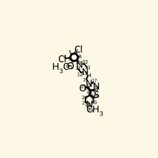 COc1c(Cl)cc(Cl)cc1N1CCN(CCn2cnc3sc4c(c3c2=O)CCN(C)C4)CC1